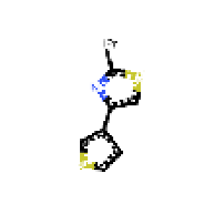 CC(C)c1nc(-c2ccsc2)cs1